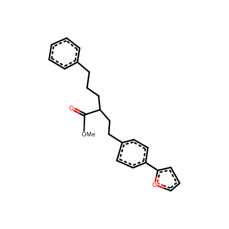 COC(=O)C(CCCc1ccccc1)CCc1ccc(-c2ccco2)cc1